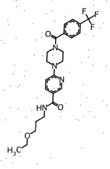 CCOCCCNC(=O)c1ccc(N2CCN(C(=O)c3ccc(C(F)(F)F)cc3)CC2)nc1